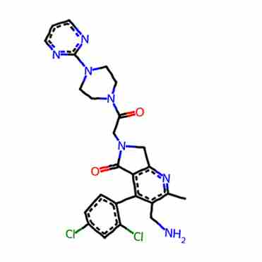 Cc1nc2c(c(-c3ccc(Cl)cc3Cl)c1CN)C(=O)N(CC(=O)N1CCN(c3ncccn3)CC1)C2